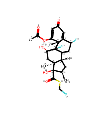 CCC(=O)OC1=CC(=O)C=C2[C@@H](F)CC3[C@@H]4C[C@@H](C)[C@](O)(C(=O)SCF)[C@@]4(C)C[C@H](O)[C@]3(F)[C@]12C